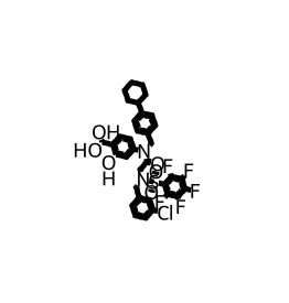 O=C(CN(Cc1cccc(Cl)c1)S(=O)(=O)c1c(F)c(F)c(F)c(F)c1F)N(Cc1ccc(C2CCCCC2)cc1)c1ccc(C(O)O)c(O)c1